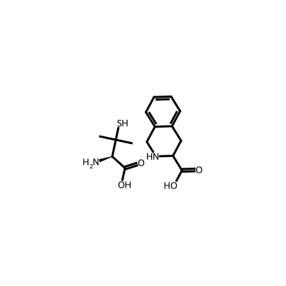 CC(C)(S)[C@H](N)C(=O)O.O=C(O)C1Cc2ccccc2CN1